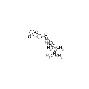 CN(C)COC(C)(C)Cn1cc(CNC(=O)C2CCC(CN3C(=O)CCCC3=O)CC2)nn1